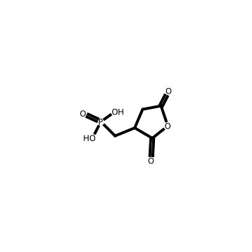 O=C1CC(CP(=O)(O)O)C(=O)O1